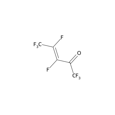 O=C(C(F)=C(F)C(F)(F)F)C(F)(F)F